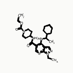 CCOC(=O)N1CCC(NC(=O)c2cnc3c(cnn3CC)c2NC(C)C2CCCCC2)CC1